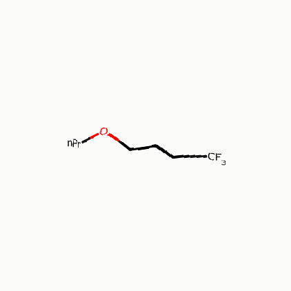 [CH2]CCOCCCC(F)(F)F